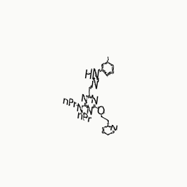 CCCN(CCC)c1nc(/C=N/Nc2cccc(C)c2)nc(OCCc2ccccn2)n1